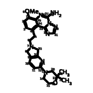 COc1ccc(CCN2Cc3ccc(N4CCOC(C)(C)C4)nc3C2)c2c1nc(N)n1ncnc21